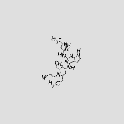 CCC1CC(Nc2nc(Nc3cc(C)[nH]n3)nc3[nH]ccc23)CC(CC)N1CCC#N